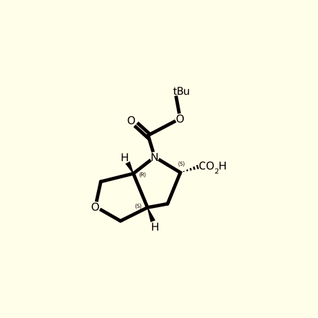 CC(C)(C)OC(=O)N1[C@H](C(=O)O)C[C@@H]2COC[C@@H]21